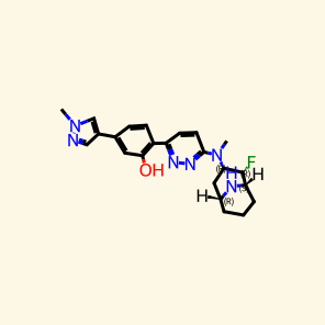 CN(c1ccc(-c2ccc(-c3cnn(C)c3)cc2O)nn1)[C@@H]1C[C@H]2CCC[C@H](N2)[C@H]1F